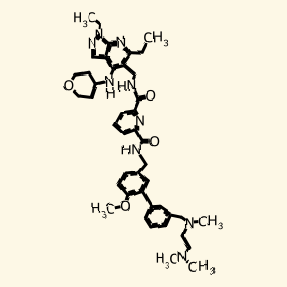 CCc1nc2c(cnn2CC)c(NC2CCOCC2)c1CNC(=O)c1cccc(C(=O)NCc2ccc(OC)c(-c3cccc(CN(C)CCN(C)C)c3)c2)n1